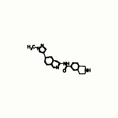 Cn1cc(-c2ccc3cnc(NC(=O)c4ccc5c(c4)CCNC5)cc3c2)cn1